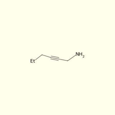 CCCC#CCN